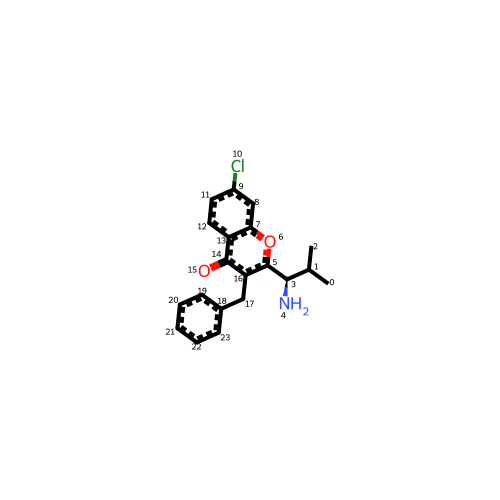 CC(C)[C@@H](N)c1oc2cc(Cl)ccc2c(=O)c1Cc1ccccc1